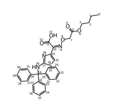 CCCCOC(=O)CO/N=C(\C(=O)O)c1csc(NC(c2ccccc2)(c2ccccc2)c2ccccc2)n1